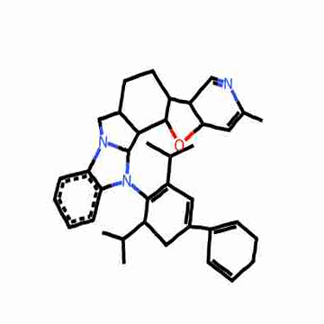 CC1=CC2OC3C(CCC4CN5c6ccccc6N(C6=C(C(C)C)C=C(C7=CCCC=C7)CC6C(C)C)C5C43)C2C=N1